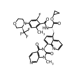 Cc1cc(N2CCOC[C@@H]2C(F)(F)F)cc(F)c1C(=O)N[C@@H](Cc1ccc(-n2c(=O)c3ccncc3n(C)c2=O)c2ncccc12)C(=O)OC1CC1